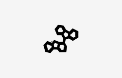 [CH]1c2ccccc2-c2cccc(C3c4ccccc4-c4ccccc43)c21